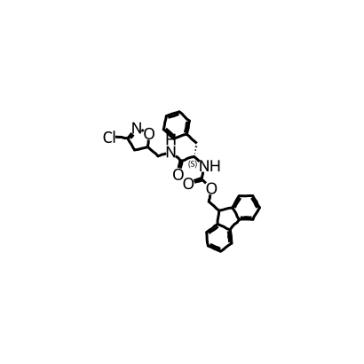 O=C(N[C@@H](Cc1ccccc1)C(=O)NCC1CC(Cl)=NO1)OCC1c2ccccc2-c2ccccc21